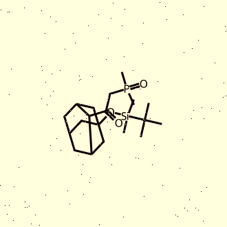 CC(C)(C)[Si](C)(C)OC12CC3CC(C1)C(C(=O)CP(C)(C)=O)C(C3)C2